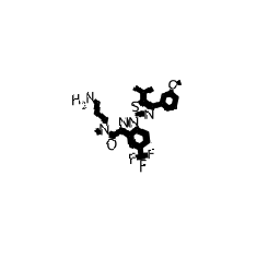 COc1cccc(-c2nc(-n3nc(C(=O)N(C)CCCN)c4cc(C(F)(F)F)ccc43)sc2C(C)C)c1